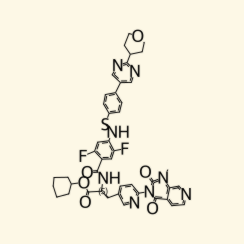 Cn1c(=O)n(-c2ccc(C[C@H](NC(=O)c3cc(F)c(NSc4ccc(-c5cnc(C6CCOCC6)nc5)cc4)cc3F)C(=O)OC3CCCCC3)cn2)c(=O)c2ccncc21